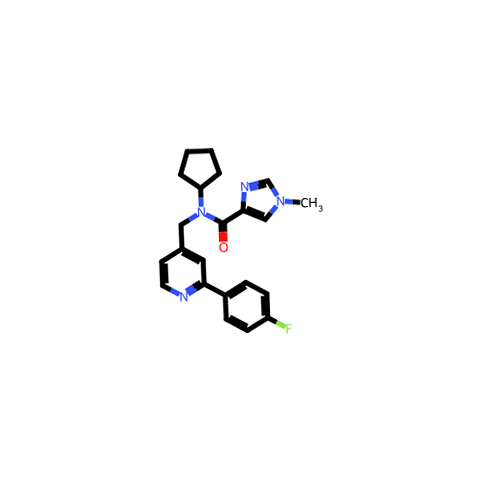 Cn1cnc(C(=O)N(Cc2ccnc(-c3ccc(F)cc3)c2)C2CCCC2)c1